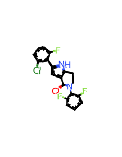 O=C1c2cc(-c3c(F)cccc3Cl)[nH]c2CCN1c1c(F)cccc1F